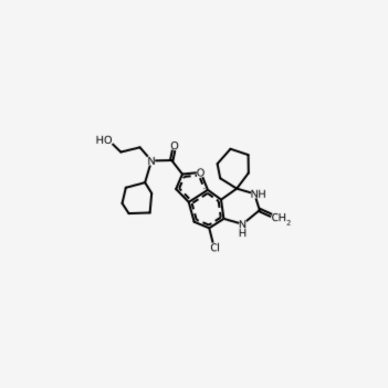 C=C1Nc2c(Cl)cc3cc(C(=O)N(CCO)C4CCCCC4)oc3c2C2(CCCCC2)N1